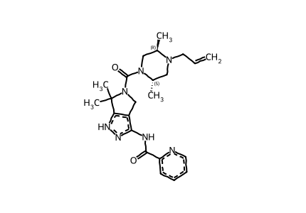 C=CCN1C[C@H](C)N(C(=O)N2Cc3c(NC(=O)c4ccccn4)n[nH]c3C2(C)C)C[C@H]1C